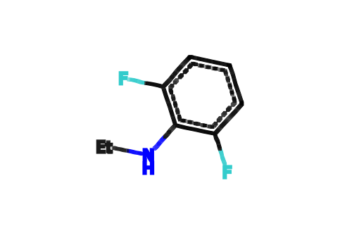 CCNc1c(F)cccc1F